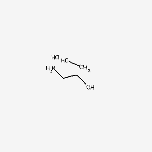 CO.Cl.NCCO